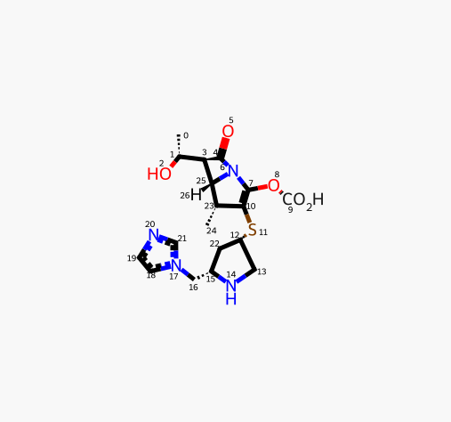 C[C@@H](O)[C@H]1C(=O)N2C(OC(=O)O)=C(S[C@@H]3CN[C@H](Cn4ccnc4)C3)[C@H](C)[C@H]12